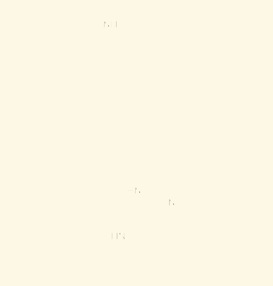 Nc1ccc(-c2ccc(-c3cnc(C4CCCN4)[nH]3)cc2)cc1